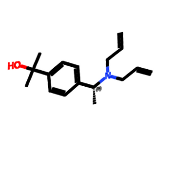 C=CCN(CC=C)[C@H](C)c1ccc(C(C)(C)O)cc1